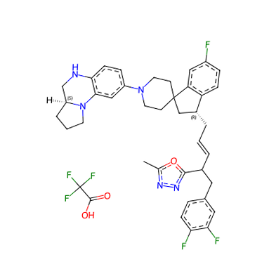 Cc1nnc(C(C=CC[C@@H]2CC3(CCN(c4ccc5c(c4)N4CCC[C@H]4CN5)CC3)c3cc(F)ccc32)Cc2ccc(F)c(F)c2)o1.O=C(O)C(F)(F)F